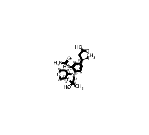 CC[C@H](CC(=O)O)c1ccc(N(CC(C)(C)O)C2CCOCC2)c(NC(N)=O)c1